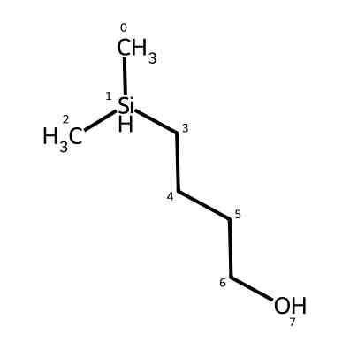 C[SiH](C)CCCCO